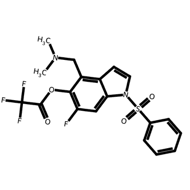 CN(C)Cc1c(OC(=O)C(F)(F)F)c(F)cc2c1ccn2S(=O)(=O)c1ccccc1